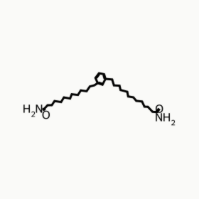 NC(=O)CCCCCCCCCCCCc1cccc(CCCCCCCCCCCCC(N)=O)c1